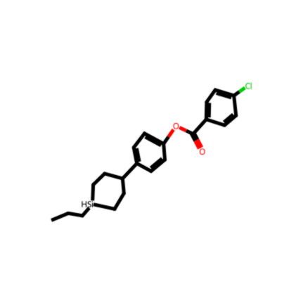 CCC[SiH]1CCC(c2ccc(OC(=O)c3ccc(Cl)cc3)cc2)CC1